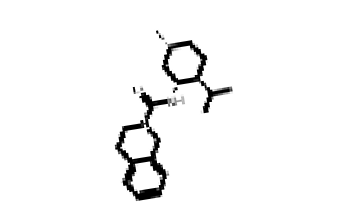 CC(C)[C@@H]1CC[C@@H](C)C[C@H]1NC(=O)N1CCc2ccccc2C1